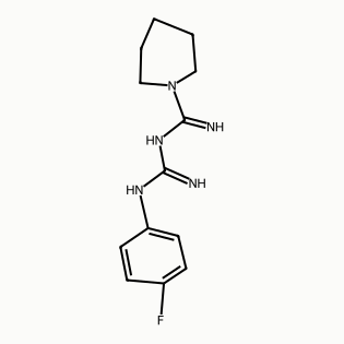 N=C(NC(=N)N1CCCCC1)Nc1ccc(F)cc1